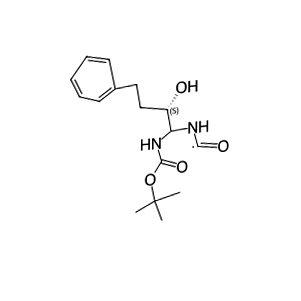 CC(C)(C)OC(=O)NC(N[C]=O)[C@@H](O)CCc1ccccc1